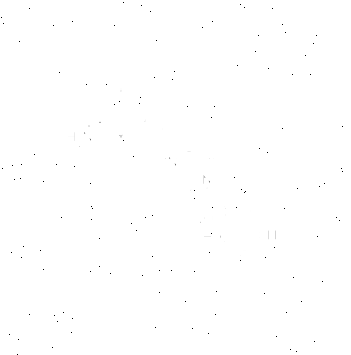 CC(C)(C)OC(=O)CN1CCN(CCc2cccc(N)c2)CC1